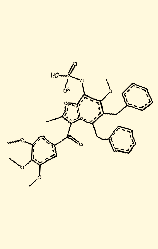 COc1cc(C(=O)c2c(C)oc3c(OP(=O)(O)O)c(OC)c(Cc4ccccc4)c(Cc4ccccc4)c23)cc(OC)c1OC